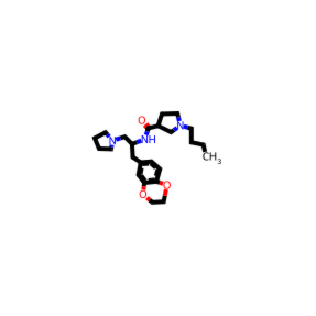 CCCCN1CCC(C(=O)NC(Cc2ccc3c(c2)OCCO3)CN2CCCC2)C1